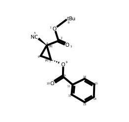 CC(C)(C)OC(=O)[C@@]1(C#N)C[C@H]1OC(=O)c1ccccc1